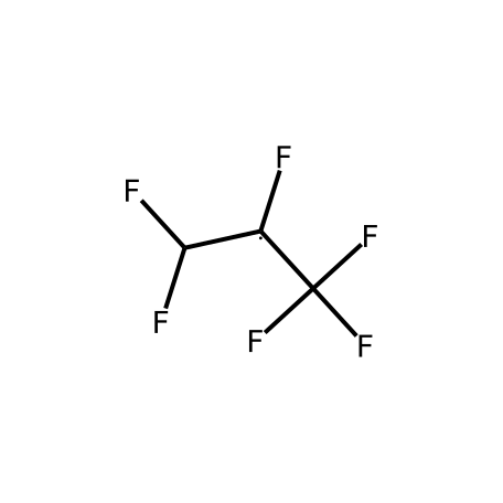 F[C](C(F)F)C(F)(F)F